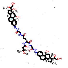 CCOC(C)(C)CC(=O)N[C@@H](CCC(=O)NCC(=O)N/N=C1\C=C[C@@]2(C)C(=C1)CCC1[C@@H]3C[C@@H](C)[C@](O)(C(=O)CO)[C@@]3(C)C[C@H](O)[C@@]12F)C(=O)NCC(=O)N/N=C1\C=C[C@@]2(C)C(=C1)CC[C@@H]1C2[C@@H](O)C[C@@]2(C)C1C[C@@H](C)[C@@H]2C(=O)CO